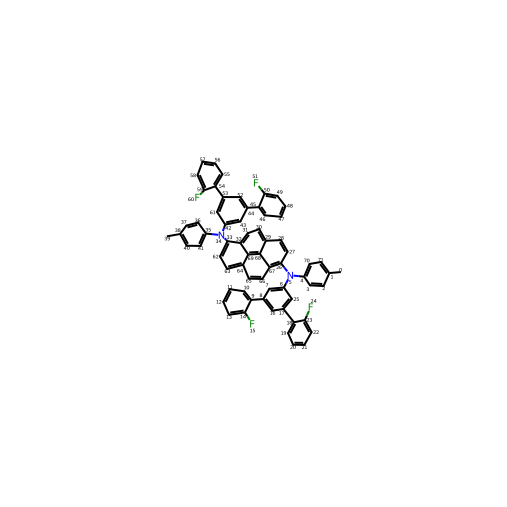 Cc1ccc(N(c2cc(-c3ccccc3F)cc(-c3ccccc3F)c2)c2ccc3ccc4c(N(c5ccc(C)cc5)c5cc(-c6ccccc6F)cc(-c6ccccc6F)c5)ccc5ccc2c3c54)cc1